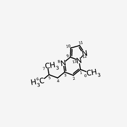 Cc1cc(CC(C)C)nc2ccnn12